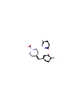 Cc1ccc(C=C2CCN(C(=O)OC(C)(C)C)CC2)cc1Oc1ccc(C(F)(F)F)cn1